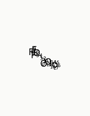 O=C(CCCCOC(F)(F)F)OCc1ccccc1